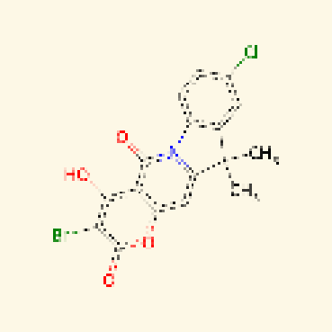 CC1(C)c2cc(Cl)ccc2-n2c1cc1oc(=O)c(Br)c(O)c1c2=O